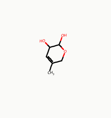 CC1=CC(O)C(O)OC1